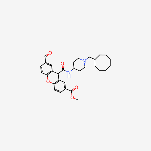 COC(=O)c1ccc2c(c1)C(C(=O)NC1CCN(CC3CCCCCCC3)CC1)c1cc(C=O)ccc1O2